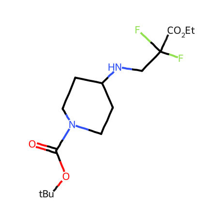 CCOC(=O)C(F)(F)CNC1CCN(C(=O)OC(C)(C)C)CC1